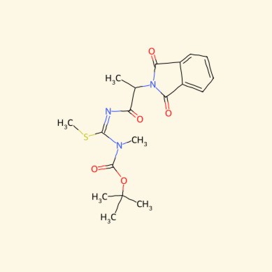 CS/C(=N/C(=O)C(C)N1C(=O)c2ccccc2C1=O)N(C)C(=O)OC(C)(C)C